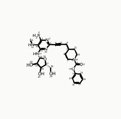 Nc1nc(C#CCC2CCN(C(=O)Oc3ccccc3)CC2)nc(N[C@@H]2O[C@H](CO)C(O)C2O)c1NI